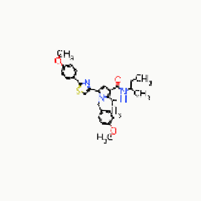 CCC(C)NC(=O)c1cc(-c2csc(-c3ccc(OC)cc3)n2)n(Cc2ccc(OC)cc2)c1C